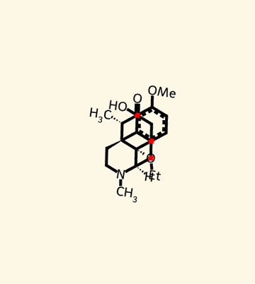 CCO[C@@]12CCC(=O)[C@@H](C)[C@@]13CCN(C)[C@@H]2Cc1ccc(OC)c(O)c13